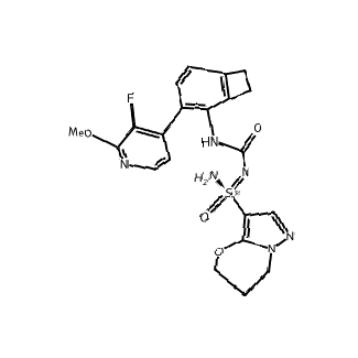 COc1nccc(-c2ccc3c(c2NC(=O)N=[S@@](N)(=O)c2cnn4c2OCCC4)CC3)c1F